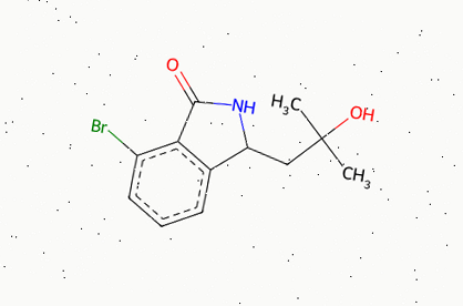 CC(C)(O)CC1NC(=O)c2c(Br)cccc21